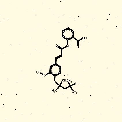 COc1cc(/C=C/C(=O)Nc2ccccc2C(=O)O)ccc1OC(C)(C)CC(C)(C)I